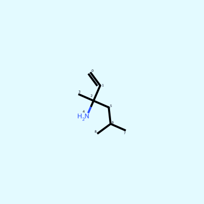 C=CC(C)(N)CC(C)C